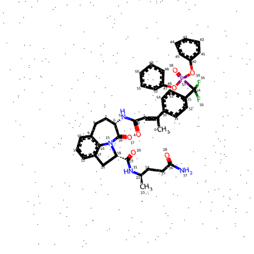 C/C(=C\C(=O)N[C@H]1CCc2cccc3c2N(C1=O)[C@H](C(=O)N[C@H](C)CCC(N)=O)C3)c1ccc(C(F)(F)P(=O)(Oc2ccccc2)Oc2ccccc2)cc1